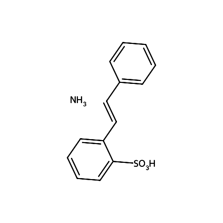 N.O=S(=O)(O)c1ccccc1C=Cc1ccccc1